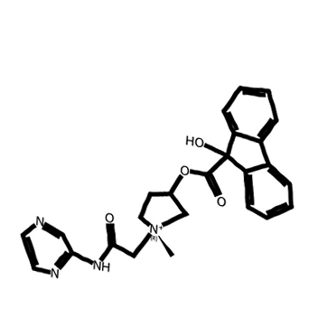 C[N@@+]1(CC(=O)Nc2cnccn2)CCC(OC(=O)C2(O)c3ccccc3-c3ccccc32)C1